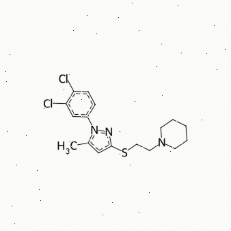 Cc1cc(SCCN2CCCCC2)nn1-c1ccc(Cl)c(Cl)c1